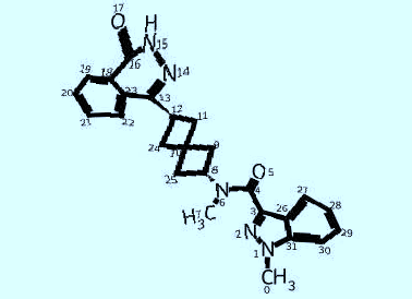 Cn1nc(C(=O)N(C)[C@H]2CC3(C[C@H](c4n[nH]c(=O)c5ccccc54)C3)C2)c2ccccc21